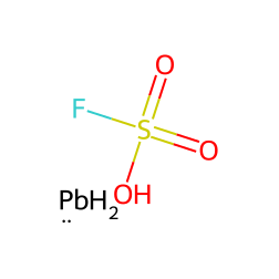 O=S(=O)(O)F.[PbH2]